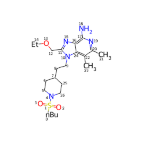 CCCCS(=O)(=O)N1CCC(CCn2c(COCC)nc3c(N)nc(C)c(C)c32)CC1